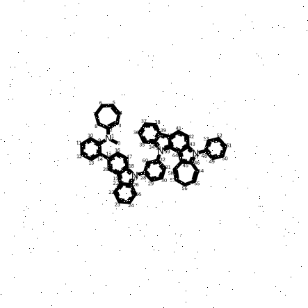 CN(C1=CC=CCCC1)c1ccccc1-c1ccc2c(c1)c1ccccc1n2-c1cccc(-n2c3ccccc3c3ccc4c(c5c(n4-c4ccccc4)C=CCC=C5)c32)c1